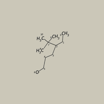 CCC(CCC[O])C(C)(C)C